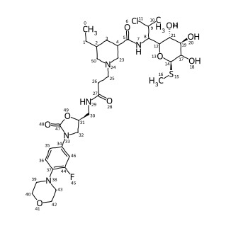 CCC1CC(C(=O)NC(C(C)Cl)C2O[C@H](SC)C(O)[C@H](O)[C@H]2O)CN(CCC(=O)NC[C@H]2CN(c3ccc(N4CCOCC4)c(F)c3)C(=O)O2)C1